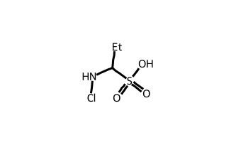 CCC(NCl)S(=O)(=O)O